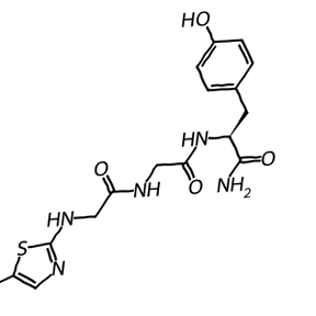 Cc1cnc(NCC(=O)NCC(=O)N[C@@H](Cc2ccc(O)cc2)C(N)=O)s1